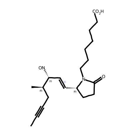 CC#CC[C@@H](C)[C@@H](/C=C/[C@H]1CCC(=O)N1CCCCCCC(=O)O)N=O